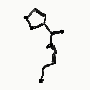 O=C(O/C=C\CBr)c1ccon1